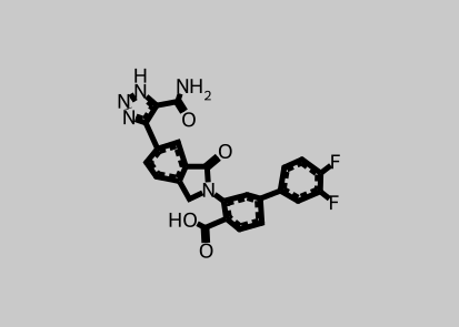 NC(=O)c1[nH]nnc1-c1ccc2c(c1)C(=O)N(c1cc(-c3ccc(F)c(F)c3)ccc1C(=O)O)C2